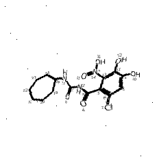 O=C(NC(=O)c1c(Cl)cc(O)c(O)c1[N+](=O)O)NC1CCCCCC1